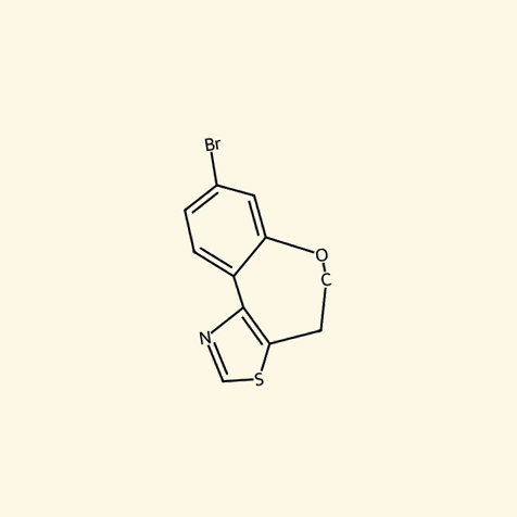 Brc1ccc2c(c1)OCCc1scnc1-2